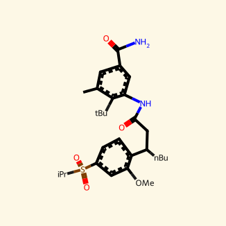 CCCCC(CC(=O)Nc1cc(C(N)=O)cc(C)c1C(C)(C)C)c1ccc(S(=O)(=O)C(C)C)cc1OC